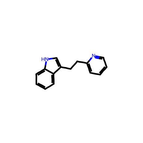 c1ccc(CCc2c[nH]c3ccccc23)nc1